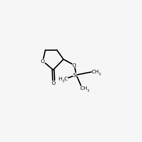 C[Si](C)(C)OC1CCOC1=O